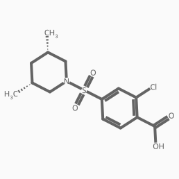 C[C@@H]1C[C@H](C)CN(S(=O)(=O)c2ccc(C(=O)O)c(Cl)c2)C1